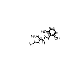 CSCC[C@@H](CO)NCCc1c(O)cccc1O